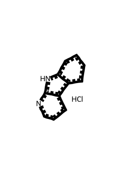 Cl.c1ccc2c(c1)[nH]c1ncccc12